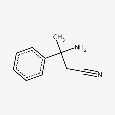 CC(N)(CC#N)c1ccccc1